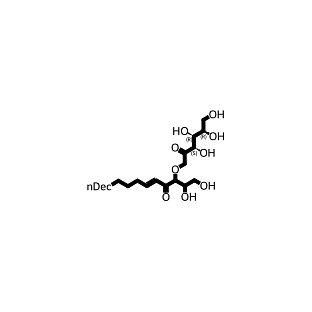 CCCCCCCCCCCCCC=CC(=O)C(OCC(=O)[C@@H](O)[C@H](O)[C@H](O)CO)C(O)CO